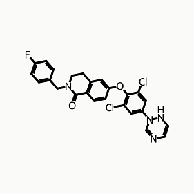 O=C1c2ccc(Oc3c(Cl)cc(N4C=NC=CN4)cc3Cl)cc2CCN1Cc1ccc(F)cc1